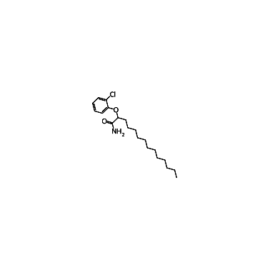 CCCCCCCCCCCCC(Oc1ccccc1Cl)C(N)=O